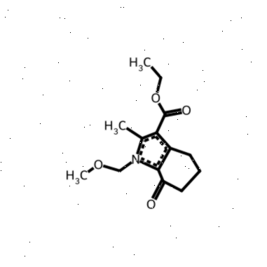 CCOC(=O)c1c2c(n(COC)c1C)C(=O)CCC2